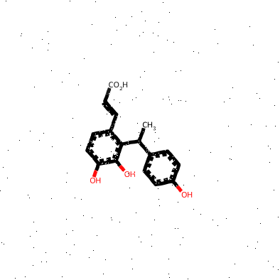 CC(c1ccc(O)cc1)c1c(C=CC(=O)O)ccc(O)c1O